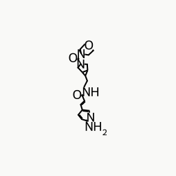 Nc1ccc(/C=C/C(=O)NCCC2C3CN(C(=O)N4CCOCC4)CC23)cn1